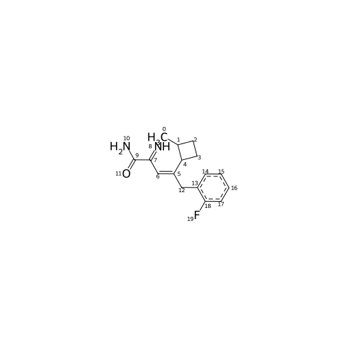 CC1CCC1/C(=C\C(=N)C(N)=O)Cc1ccccc1F